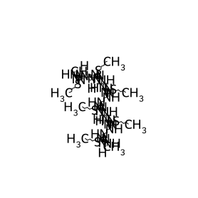 CCCCCSc1nc(NC)nc(NCCNc2nc(NCCNc3nc(NCCNC4=NC(SCCCCC)NC(NCCNc5nc(NCCNC6=NC(SCCCCC)NC(NC)=N6)nc(SCCCCC)n5)=N4)nc(SCCCCC)n3)nc(SCCCCC)n2)n1